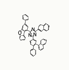 c1ccc(-c2cc(-c3nc(-c4ccc(-c5ccccc5)c(-c5cccc6ccccc56)c4)nc(-c4ccc5ccccc5c4)n3)c3c(c2)oc2ccccc23)cc1